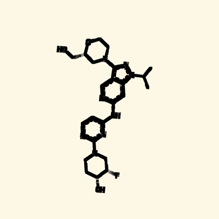 CC(C)n1nc(N2CCO[C@@H](CO)C2)c2cnc(Nc3ccnc(N4CC[C@@H](O)[C@@H](F)C4)n3)cc21